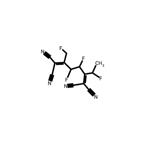 CC(F)C(=C(C#N)C#N)C(F)C(F)C(CF)=C(C#N)C#N